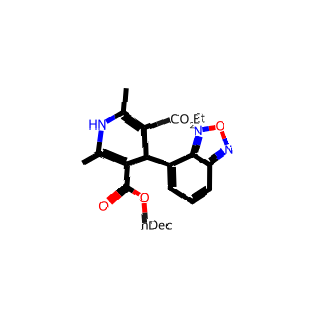 CCCCCCCCCCOC(=O)C1=C(C)NC(C)=C(C(=O)OCC)C1c1cccc2nonc12